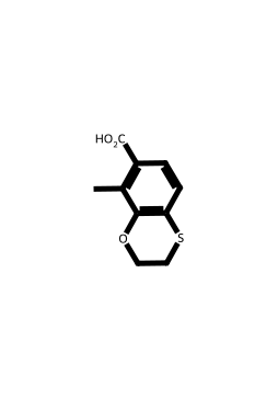 Cc1c(C(=O)O)ccc2c1OCCS2